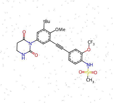 COc1c(C#Cc2ccc(NS(C)(=O)=O)c(OC(F)(F)F)c2)cc(N2C(=O)CCNC2=O)cc1C(C)(C)C